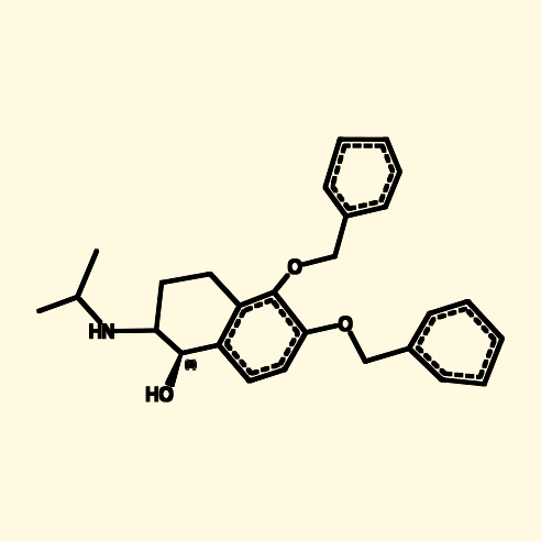 CC(C)NC1CCc2c(ccc(OCc3ccccc3)c2OCc2ccccc2)[C@H]1O